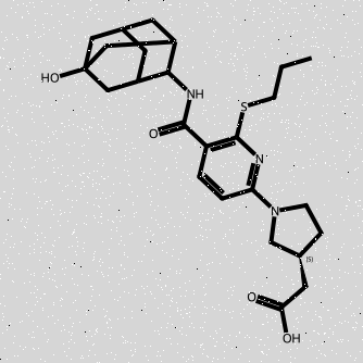 CCCSc1nc(N2CC[C@@H](CC(=O)O)C2)ccc1C(=O)NC1C2CC3CC1CC(O)(C3)C2